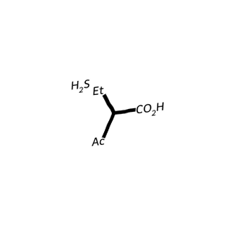 CCC(C(C)=O)C(=O)O.S